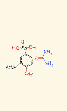 CC(=O)Nc1cc([As](=O)(O)O)ccc1O.NC(N)=O